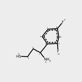 NC(CCS)c1ccc(F)cc1F